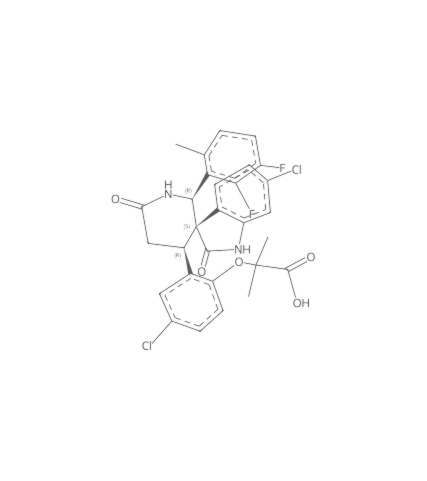 Cc1ccc(F)c(F)c1[C@@H]1NC(=O)C[C@H](c2cc(Cl)ccc2OC(C)(C)C(=O)O)[C@@]12C(=O)Nc1cc(Cl)ccc12